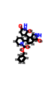 O=C1CCC(c2c(C3CCCCN3C(=O)OCc3ccccc3)ccc3c2CNC3=O)C(=O)N1